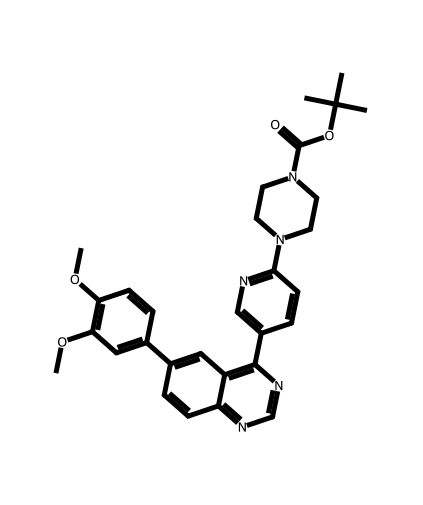 COc1ccc(-c2ccc3ncnc(-c4ccc(N5CCN(C(=O)OC(C)(C)C)CC5)nc4)c3c2)cc1OC